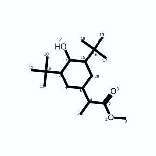 COC(=O)C(C)C1CC(C(C)(C)C)C(O)C(C(C)(C)C)C1